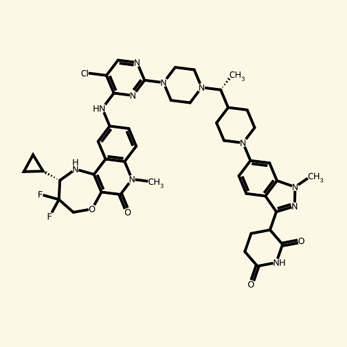 C[C@H](C1CCN(c2ccc3c(C4CCC(=O)NC4=O)nn(C)c3c2)CC1)N1CCN(c2ncc(Cl)c(Nc3ccc4c(c3)c3c(c(=O)n4C)OCC(F)(F)[C@H](C4CC4)N3)n2)CC1